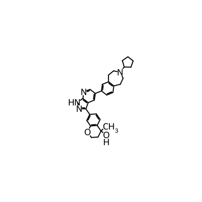 CC1(O)CCOc2cc(-c3n[nH]c4ncc(-c5ccc6c(c5)CCN(C5CCCC5)CC6)cc34)ccc21